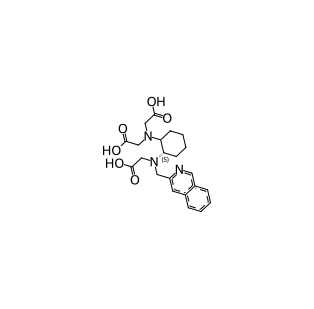 O=C(O)CN(CC(=O)O)C1CCCC[C@@H]1N(CC(=O)O)Cc1cc2ccccc2cn1